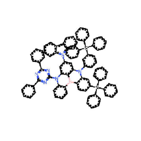 c1ccc(-c2nc(-c3ccccc3)nc(N3c4ccccc4B4c5ccc([Si](c6ccccc6)(c6ccccc6)c6ccccc6)cc5N(c5cccc([Si](c6ccccc6)(c6ccccc6)c6ccccc6)c5)c5cc(-n6c7ccccc7c7ccccc76)cc3c54)n2)cc1